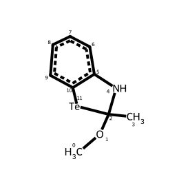 COC1(C)Nc2ccccc2[Te]1